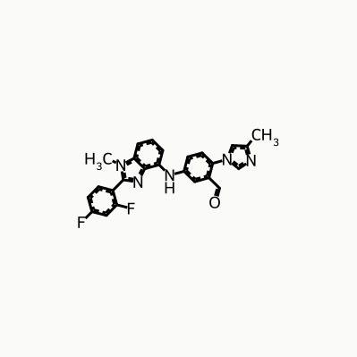 Cc1cn(-c2ccc(Nc3cccc4c3nc(-c3ccc(F)cc3F)n4C)cc2C=O)cn1